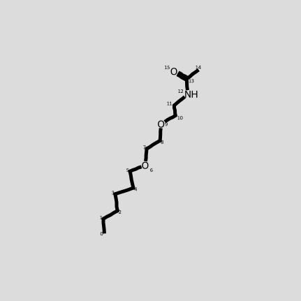 CCCCCCOCCOCCNC(C)=O